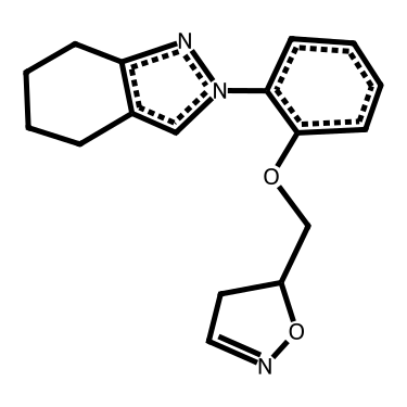 C1=NOC(COc2ccccc2-n2cc3c(n2)CCCC3)C1